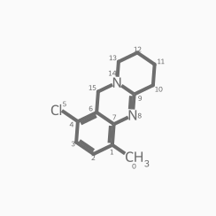 Cc1ccc(Cl)c2c1N=C1CCCCN1C2